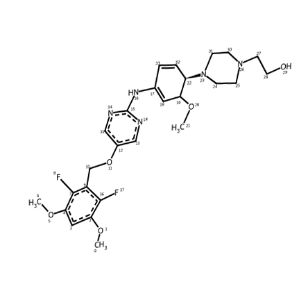 COc1cc(OC)c(F)c(COc2cnc(NC3=CC(OC)[C@H](N4CCN(CCO)CC4)C=C3)nc2)c1F